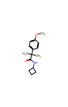 COc1ccc(C(C)(C)C(=O)NC2CCC2)cc1